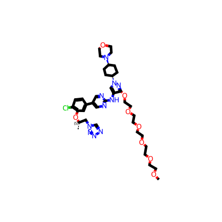 COCCOCCOCCOCCOCCOc1nn([C@H]2CC[C@H](N3CCOCC3)CC2)cc1Nc1ncc(-c2ccc(Cl)c(O[C@@H](C)Cn3cnnn3)c2)cn1